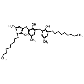 CCCCCCCCCc1cc(C)cc(Cc2cc(C)cc(Cc3cc(C)cc(CCCCCCCCC)c3O)c2O)c1O